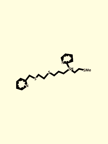 CSCC[SH](CCCSCCSCc1ccccn1)c1ccccn1